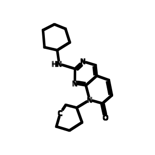 O=c1ccc2cnc(NC3CCCCC3)nc2n1C1CCCCC1